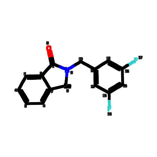 O=c1c2ccccc2[se]n1Cc1cc(F)cc(F)c1